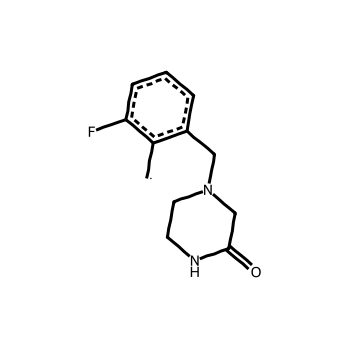 [CH2]c1c(F)cccc1CN1CCNC(=O)C1